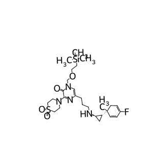 CC1([C@@H]2C[C@H]2NCCCc2cn(COCC[Si](C)(C)C)c(=O)c(N3CCS(=O)(=O)CC3)n2)C=CC(F)=CC1